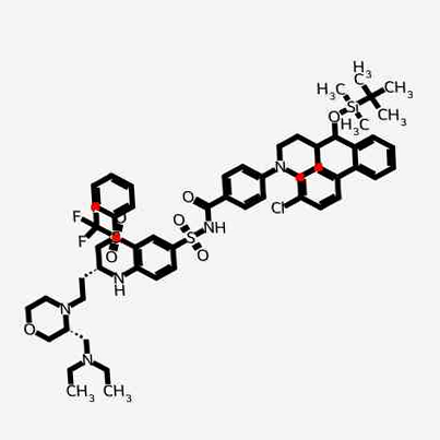 CCN(CC)C[C@@H]1COCCN1CC[C@H](CSc1ccccc1)Nc1ccc(S(=O)(=O)NC(=O)c2ccc(N3CCC(C(O[Si](C)(C)C(C)(C)C)c4ccccc4-c4ccc(Cl)cc4)CC3)cc2)cc1S(=O)(=O)C(F)(F)F